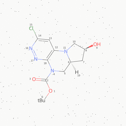 CC(C)(C)OC(=O)N1C[C@@H]2C[C@H](O)CN2c2cc(Cl)nnc21